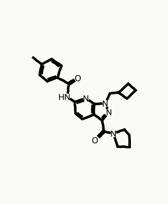 Cc1ccc(C(=O)Nc2ccc3c(C(=O)N4CCCC4)nn(CC4CCC4)c3n2)cc1